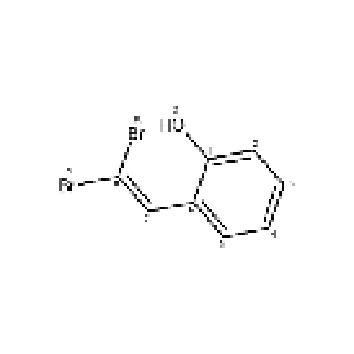 Oc1ccccc1C=C(Br)Br